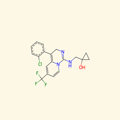 OC1(CNC2=NCC(c3ccccc3Cl)=C3C=C(C(F)(F)F)C=CN23)CC1